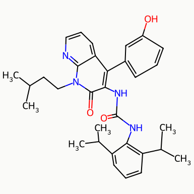 CC(C)CCn1c(=O)c(NC(=O)Nc2c(C(C)C)cccc2C(C)C)c(-c2cccc(O)c2)c2cccnc21